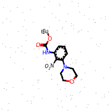 CC(C)(C)OC(=O)Nc1cccc(N2CCOCC2)c1[N+](=O)[O-]